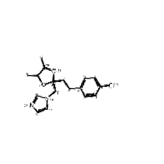 CC1OC(CCc2ccc(Cl)cc2)(Cn2ccnc2)OC1C